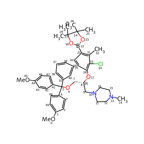 COc1ccc(C(OC[C@@H](CN2CCN(C)CC2)Oc2ccc(B3OC(C)(C)C(C)(C)O3)c(C)c2Cl)(c2ccccc2)c2ccc(OC)cc2)cc1